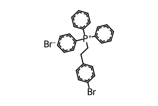 Brc1ccc(CC[P+](c2ccccc2)(c2ccccc2)c2ccccc2)cc1.[Br-]